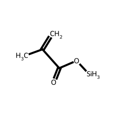 C=C(C)C(=O)O[SiH3]